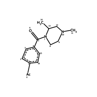 CC(=O)c1ccc(C(=O)N2CCN(C)CC2C)cc1